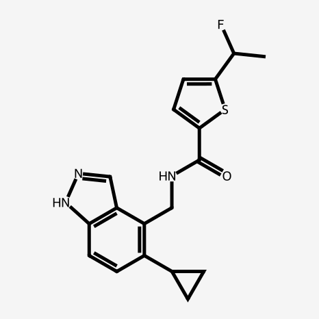 CC(F)c1ccc(C(=O)NCc2c(C3CC3)ccc3[nH]ncc23)s1